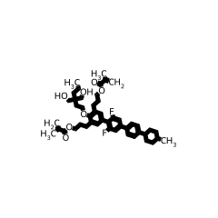 C=C(C)C(=O)OCCCc1cc(-c2c(F)cc(-c3ccc(C4CCC(C)CC4)cc3)cc2F)cc(CCCOC(=O)C(=C)C)c1OCCC(CO)(CO)CCC